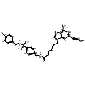 C=C(CCCCCn1cnc2c(N)nc(C#CC(C)C)nc21)NCc1ccc(S(=O)(=O)NCc2ccc(C)cc2)cc1